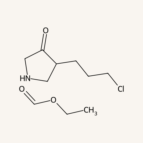 CCOC=O.O=C1CNCC1CCCCl